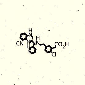 N#Cc1cccc2c1N[C@@H]([C@H](NCCc1ccc(Cl)c(CC(=O)O)c1)c1ccccc1)CN2